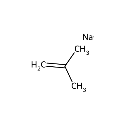 C=C(C)C.[Na]